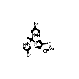 CC(n1cc(Br)cn1)(n1cc(Br)cn1)n1cc(Br)cn1.[Cl][Mn][Cl]